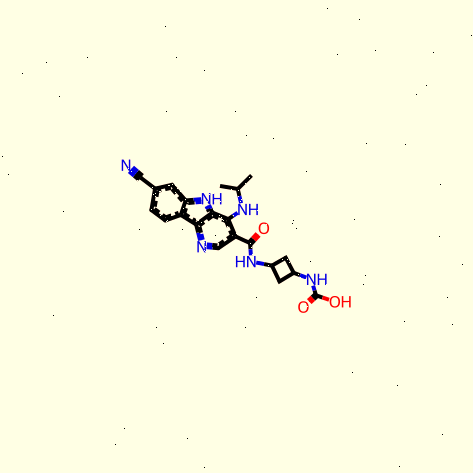 CC(C)Nc1c(C(=O)NC2CC(NC(=O)O)C2)cnc2c1[nH]c1cc(C#N)ccc12